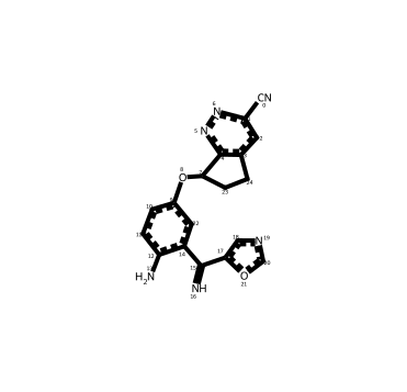 N#Cc1cc2c(nn1)C(Oc1ccc(N)c(C(=N)c3cnco3)c1)CC2